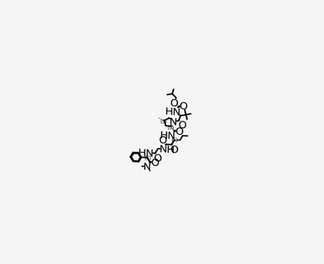 CCC[C@H](NC(=O)[C@@H]1C[C@H](C)CN1C(=O)C(NC(=O)OCC(C)C)C(C)(C)C)C(=O)C(=O)NCC(=O)N[C@H](C(=O)N(C)C)c1ccccc1